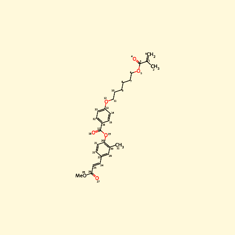 C=C(C)C(=O)OCCCCCCOc1ccc(C(=O)Oc2ccc(C=CC(=O)OC)cc2C)cc1